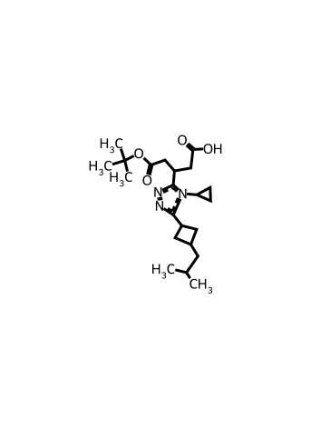 CC(C)CC1CC(c2nnc(C(CC(=O)O)CC(=O)OC(C)(C)C)n2C2CC2)C1